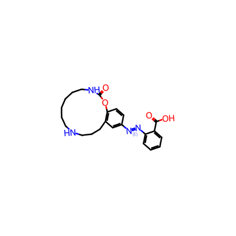 O=C1NCCCCCCNCCCc2cc(/N=N/c3ccccc3C(=O)O)ccc2O1